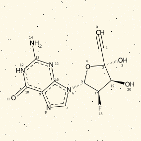 C#C[C@]1(O)O[C@@H](n2cnc3c(=O)[nH]c(N)nc32)[C@H](F)[C@@H]1O